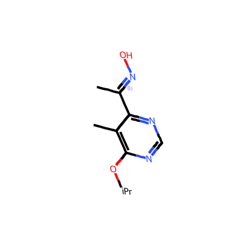 C/C(=N\O)c1ncnc(OC(C)C)c1C